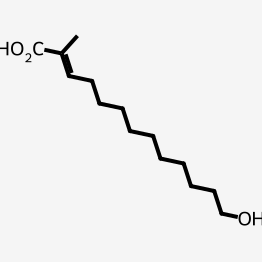 C/C(=C\CCCCCCCCCCO)C(=O)O